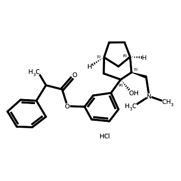 CC(C(=O)Oc1cccc([C@@]2(O)C[C@H]3CC[C@H](C3)[C@H]2CN(C)C)c1)c1ccccc1.Cl